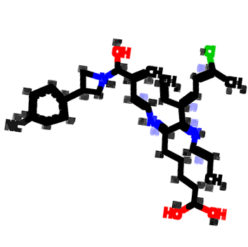 C=CC(=C\C=C(/C)Cl)/C(=N/C=C/C)C(/CCCCC(O)O)=N\C=C\C(=C)C(O)N1CC(c2ccc(C#N)cc2)C1